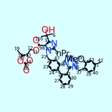 CCCc1nc(C(C)(C)O)c(C(=O)OCc2oc(=O)oc2C)n1Cc1ccc(-c2ccccc2-c2nnnn2Cc2ccc(C)cc2OC)cc1